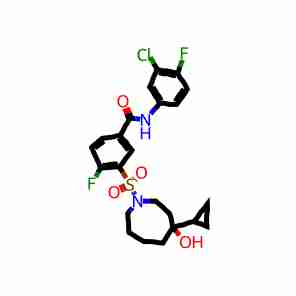 O=C(Nc1ccc(F)c(Cl)c1)c1ccc(F)c(S(=O)(=O)N2CCCCC(O)(C3CC3)CC2)c1